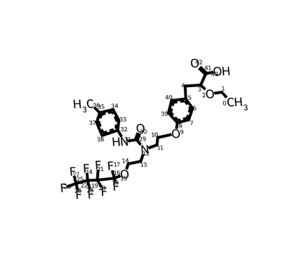 CCOC(Cc1ccc(OCCN(CCOC(F)(F)C(F)(F)C(F)(F)C(F)(F)F)C(=O)Nc2ccc(C)cc2)cc1)C(=O)O